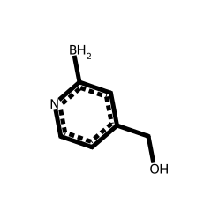 Bc1cc(CO)ccn1